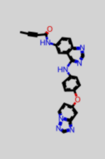 CC#CC(=O)Nc1ccc2ncnc(Nc3ccc(Oc4ccn5ncnc5c4)cc3)c2c1